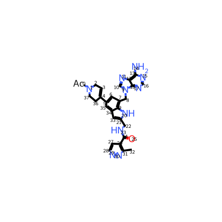 CC(=O)N1CC=C(c2cc(Cn3cnc4c(N)ncnc43)c3[nH]c(CNC(=O)c4ccnnc4C)cc3c2)CC1